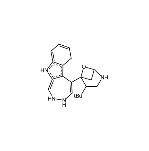 CC(C)(C)C1CNC2CC1(C1=CNNC=c3[nH]c4c(c31)CC=CC=4)O2